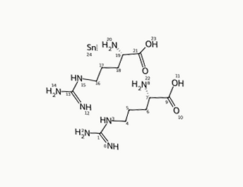 N=C(N)NCCC[C@H](N)C(=O)O.N=C(N)NCCC[C@H](N)C(=O)O.[Sn]